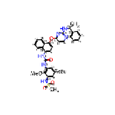 COc1c(NC(=O)Nc2ccc(Oc3ccnc(NC(C)c4ccccc4)n3)c3ccccc23)cc(C(C)(C)C)cc1NS(C)(=O)=O